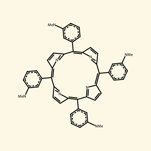 CNc1cccc(C2=C3C=CC(=N3)C(c3cccc(NC)c3)=C3C=CC(=N3)C(c3cccc(NC)c3)=C3C=CC(=N3)C(c3cccc(NC)c3)=C3C=CC2=N3)c1